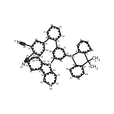 CC1(C)c2ccccc2N(c2cc(-c3ccccc3-c3ccc(C#N)c(C#N)c3)cc(-n3c4ccccc4c4cnccc43)c2)c2ccccc21